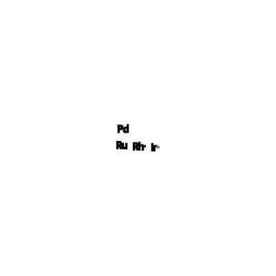 [Ir].[Pd].[Rh].[Ru]